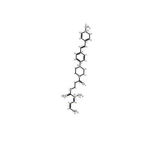 C=C(SCCC(=O)N1CCN(c2ccc(/C=C/C3=CCN(C)C=C3)cc2)CC1)/[N+](C)=C\C=C/N